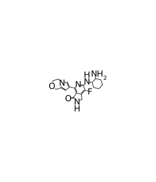 N[C@H]1CCCC[C@H]1Nc1nc(-c2cc3n(c2)CCOC3)c2c(c1F)CNC2=O